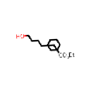 CCOC(=O)C12CCCC(CCCCO)(C1)C2